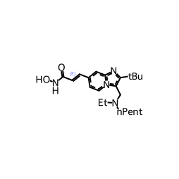 CCCCCN(CC)Cc1c(C(C)(C)C)nc2cc(/C=C/C(=O)NO)ccn12